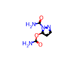 NC(=O)Oc1ccnn1C(N)=O